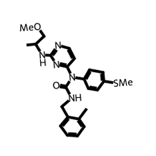 COCC(C)Nc1nccc(N(C(=O)NCc2ccccc2C)c2ccc(SC)cc2)n1